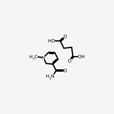 CN1C=CC=C(C(N)=O)C1.O=C(O)CCC(=O)O